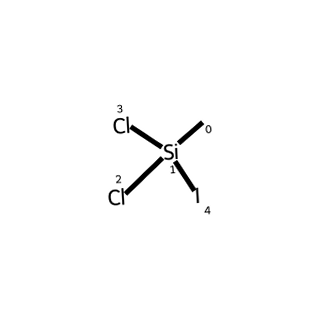 C[Si](Cl)(Cl)I